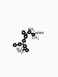 CCCCCCc1cc(C)cc(-c2cc(C)cc(-n3c4ccccc4c4cc(-c5ccc(N(c6ccc(-c7ccccc7)cc6)c6ccc7c(c6)C(C)(C)c6ccccc6-7)cc5)ccc43)c2)c1